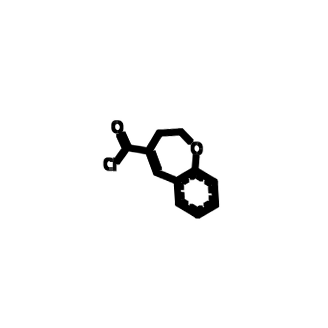 O=C(Cl)C1=Cc2ccccc2OCC1